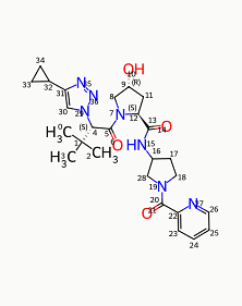 CC(C)(C)[C@@H](C(=O)N1C[C@H](O)C[C@H]1C(=O)NC1CCN(C(=O)c2ccccn2)C1)n1cc(C2CC2)nn1